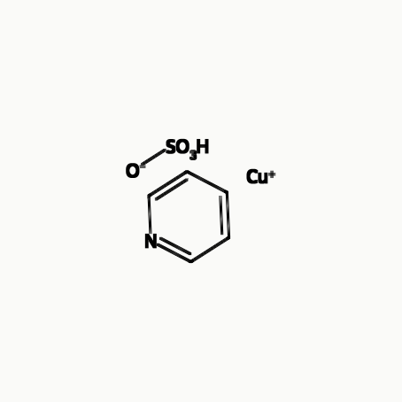 O=S(=O)([O-])O.[Cu+].c1ccncc1